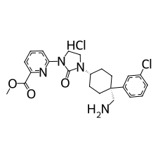 COC(=O)c1cccc(N2CCN([C@H]3CC[C@](CN)(c4cccc(Cl)c4)CC3)C2=O)n1.Cl